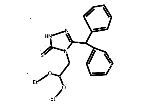 CCOC(Cn1c(C(c2ccccc2)c2ccccc2)n[nH]c1=S)OCC